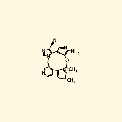 Cc1ccc2c(c1)[C@@H](C)Oc1cc(cnc1N)-c1c(C#N)ncn1Cc1cnccc1-2